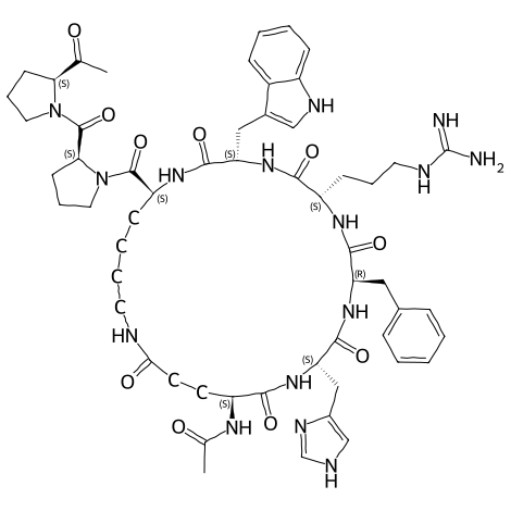 CC(=O)N[C@H]1CCC(=O)NCCCC[C@@H](C(=O)N2CCC[C@H]2C(=O)N2CCC[C@H]2C(C)=O)NC(=O)[C@H](Cc2c[nH]c3ccccc23)NC(=O)[C@H](CCCNC(=N)N)NC(=O)[C@@H](Cc2ccccc2)NC(=O)[C@H](Cc2c[nH]cn2)NC1=O